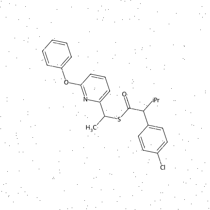 CC(SC(=O)C(c1ccc(Cl)cc1)C(C)C)c1cccc(Oc2ccccc2)n1